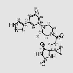 C[C@H](C[C@]1(C2CC2)NC(=O)NC1=O)C(=O)N1CCN(c2cc(F)cc(-c3cn[nH]c3)c2)[C@@H](C)C1